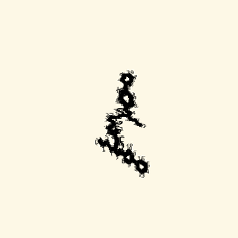 CCCCc1cc(-c2ccc(-c3ccccc3)cc2)sc1-c1ccc(-c2ccc(-c3sc(-c4ccc(-c5ccccc5)cc4)cc3CCCC)s2)s1